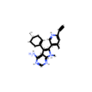 C#Cc1cc(C)c(-c2c(C3=CC[C@@H](C)CC3)c3c(N)ncnc3n2C)cn1